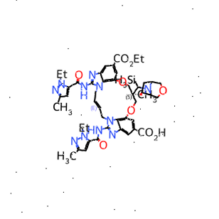 CCOC(=O)c1cc2c3c(c1)nc(NC(=O)c1cc(C)nn1CC)n3C/C=C/Cn1c(NC(=O)c3cc(C)nn3CC)nc3cc(C(=O)O)cc(c31)OC[C@](C)(C([SiH3])N1C3CCC1COC3)CO2